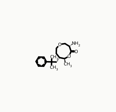 C[C@@H]1OC(=O)[C@@H](N)COCC[C@H]1CC(C)(C)c1ccccc1